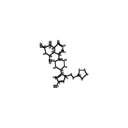 CCc1cn(CCN2CCCC2)c(C2CCN(c3ncnc4c3C(CC)CC(=O)N4)CC2)n1